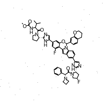 COC(=O)NC(C(=O)N1CCC[C@H]1c1ncc(-c2cc(F)c3c(c2)OC(c2ccc4c(c2)OCCC4)n2c-3cc3cc(-c4cnc([C@@H]5C[C@@H](F)CN5C(=O)[C@@H](c5ccccc5)N5CCC5)[nH]4)ccc32)[nH]1)C(C)C